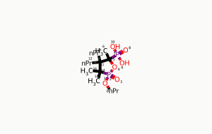 CCCOP1(=O)OC(C)(P(=O)(O)O)C(CCC)(CCC)C1(C)C